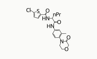 CCCC(NC(=O)c1ccc(Cl)s1)C(=O)Nc1ccc(N2CCOCC2=O)c(C)c1